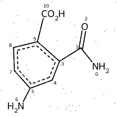 NC(=O)c1cc(N)ccc1C(=O)O